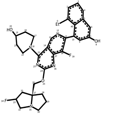 CCc1cccc2cc(O)cc(-c3ncc4c(N5CCC(O)CC5)nc(OC[C@@]56CCCN5CC(F)C6)nc4c3F)c12